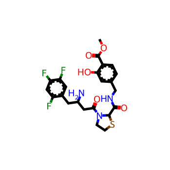 COC(=O)c1ccc(CNC(=O)C2SCCN2C(=O)CC(N)Cc2cc(F)c(F)cc2F)cc1O